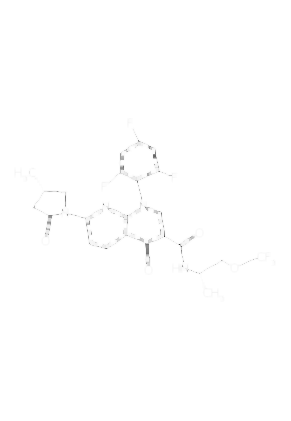 C[C@H]1CC(=O)N(c2ccc3c(=O)c(C(=O)N[C@@H](C)COC(F)(F)F)cn(-c4c(F)cc(F)cc4F)c3n2)C1